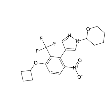 O=[N+]([O-])c1ccc(OC2CCC2)c(C(F)(F)F)c1-c1cnn(C2CCCCO2)c1